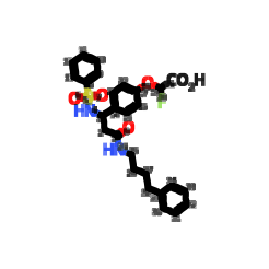 O=C(CC(NS(=O)(=O)c1ccccc1)c1ccc(OC(F)C(=O)O)cc1)NCCCCc1ccccc1